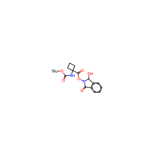 CC(C)(C)OC(=O)NC1(C(=O)ON2C(=O)c3ccccc3C2O)CCC1